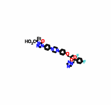 CCC(C(=O)O)n1ncn(-c2ccc(N3CCN(c4ccc(OC[C@@H]5CO[C@@](Cn6cncn6)(c6ccc(F)cc6F)O5)cc4)CC3)cc2)c1=O